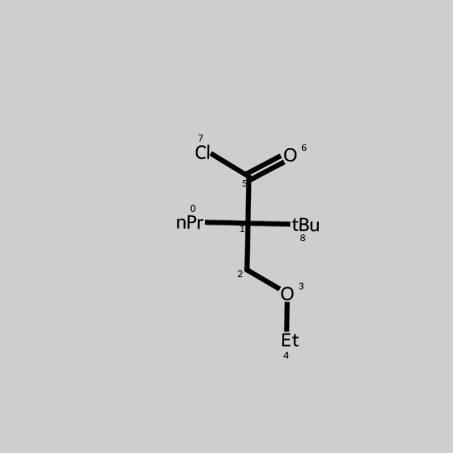 CCCC(COCC)(C(=O)Cl)C(C)(C)C